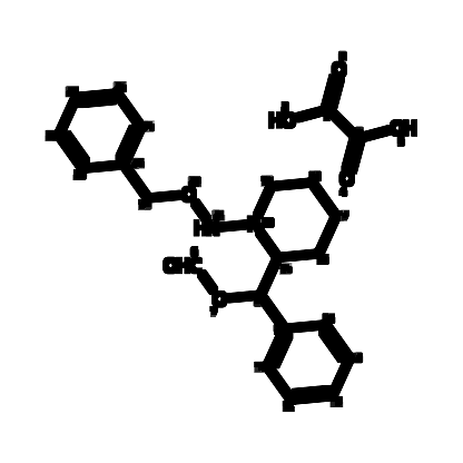 O=C(O)C(=O)O.O=COC(c1ccccc1)C1CCCCN1NOCc1ccccc1